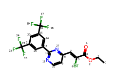 CCOC(=O)C(Br)=Cc1ccnc(-c2cc(C(F)(F)F)cc(C(F)(F)F)c2)n1